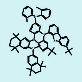 Cc1ccccc1N(c1ccc2c(c1)N(c1cccc3c1sc1cc(C(C)(C)C)ccc13)c1cc(C(C)(C)C)cc3c1B2c1cc2c(cc1N3c1ccc3c(c1)C(C)(C)CCC3(C)C)C(C)(C)CCC2(C)C)c1ccccc1C